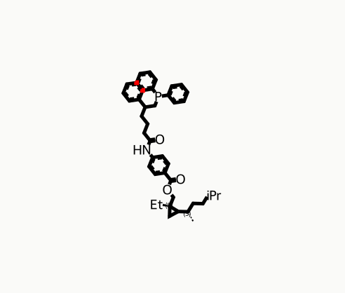 CC[C@]1(COC(=O)c2ccc(NC(=O)CCCC(CP(c3ccccc3)c3ccccc3)c3ccccc3)cc2)CC1[C@@H](C)CCC(C)C